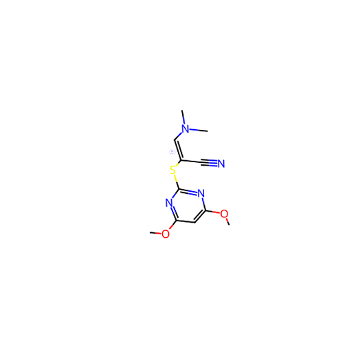 COc1cc(OC)nc(S/C(C#N)=C/N(C)C)n1